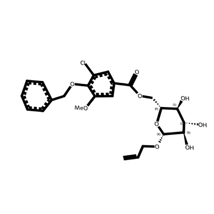 C=CCO[C@@H]1O[C@H](COC(=O)c2cc(Cl)c(OCc3ccccc3)c(OC)c2)[C@@H](O)[C@H](O)[C@H]1O